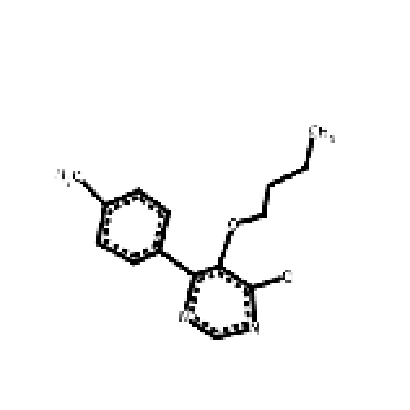 CCCCOc1c(Cl)ncnc1-c1ccc(C)cc1